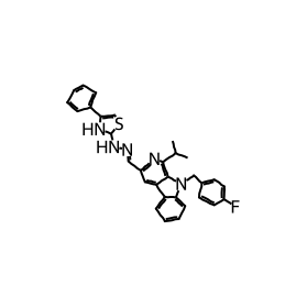 CC(C)c1nc(C=NNC2NC(c3ccccc3)=CS2)cc2c3ccccc3n(Cc3ccc(F)cc3)c12